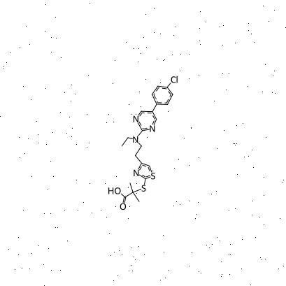 CCN(CCc1csc(SC(C)(C)C(=O)O)n1)c1ncc(-c2ccc(Cl)cc2)cn1